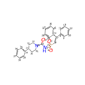 O=C(NS(=O)(=O)C=C(c1ccccc1)c1ccccc1)N1CCC(c2ccccc2)CC1